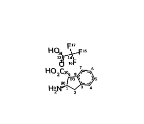 N[C@@H]1Cc2ccccc2[C@H]1C(=O)O.O=C(O)C(F)(F)F